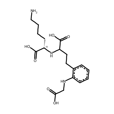 NCCCC[C@H](NC(CCc1ccccc1NCC(=O)O)C(=O)O)C(=O)O